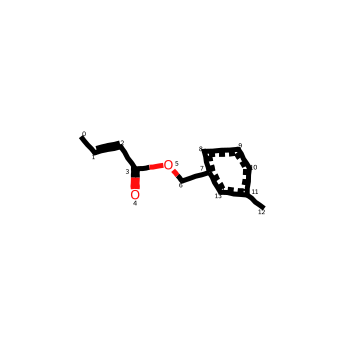 CC=CC(=O)OCc1cccc(C)c1